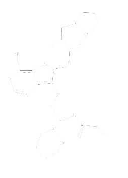 CC(C)(C)CC(=O)NC(CCn1c(Sc2cc3c(cc2Br)OCO3)nc2c(N)ncnc21)C1CCSCC1